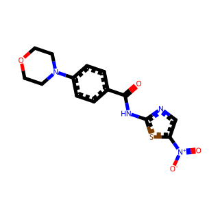 O=C(Nc1ncc([N+](=O)[O-])s1)c1ccc(N2CCOCC2)cc1